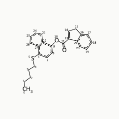 CCCCCSc1ccc(OC(=O)C2=CCc3ccccc32)c2ccccc12